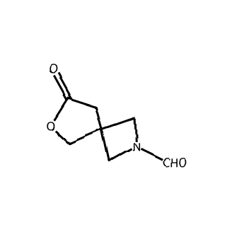 O=CN1CC2(COC(=O)C2)C1